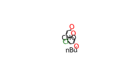 CCCCOc1ccc2ccc(=O)oc2c1.O=CCl